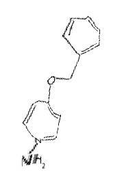 N[n+]1ccc(OCc2ccccc2)cc1